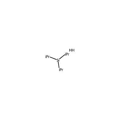 CC(C)[Si](C(C)C)C(C)C.[HH]